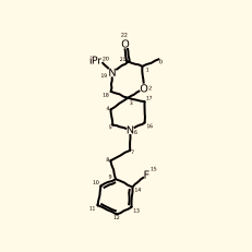 CC1OC2(CCN(CCc3ccccc3F)CC2)CN(C(C)C)C1=O